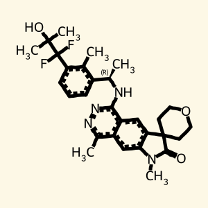 Cc1c([C@@H](C)Nc2nnc(C)c3cc4c(cc23)C2(CCOCC2)C(=O)N4C)cccc1C(F)(F)C(C)(C)O